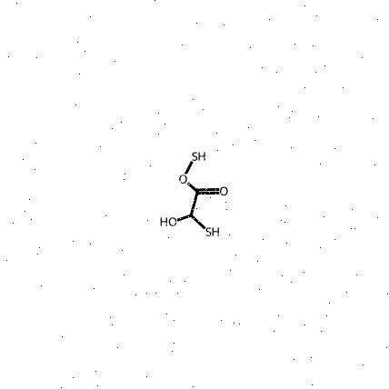 O=C(OS)C(O)S